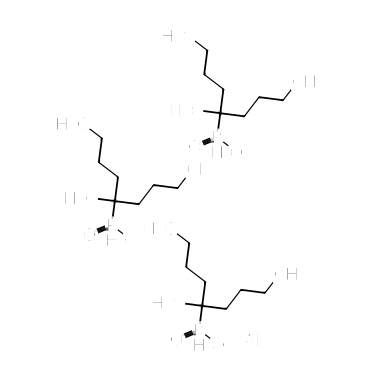 CCCCC(C)(CCCC)[PH](=O)[O-].CCCCC(C)(CCCC)[PH](=O)[O-].CCCCC(C)(CCCC)[PH](=O)[O-].[Al+3]